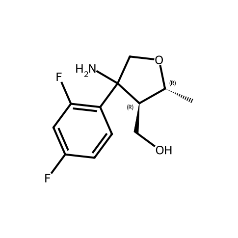 C[C@H]1OCC(N)(c2ccc(F)cc2F)[C@@H]1CO